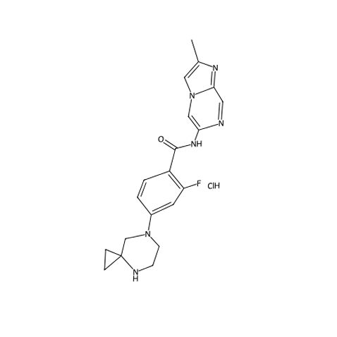 Cc1cn2cc(NC(=O)c3ccc(N4CCNC5(CC5)C4)cc3F)ncc2n1.Cl